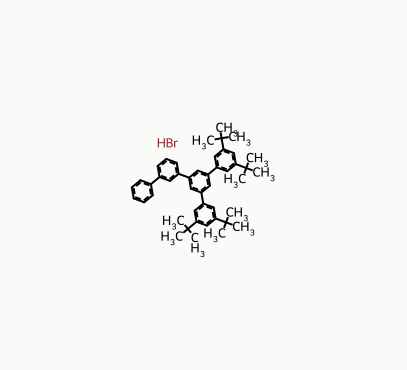 Br.CC(C)(C)c1cc(-c2cc(-c3cccc(-c4ccccc4)c3)cc(-c3cc(C(C)(C)C)cc(C(C)(C)C)c3)c2)cc(C(C)(C)C)c1